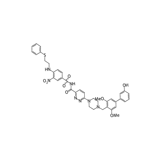 COc1cc(-c2cccc(O)c2)cc(OC)c1CN1CCN(c2ccc(C(=O)NS(=O)(=O)c3ccc(NCCSc4ccccc4)c([N+](=O)[O-])c3)nn2)CC1